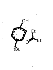 CC(C)(C)c1ccc(O)cc1.CCC(=O)CC